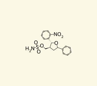 NS(=O)(=O)OC[C@@H]1CC(c2ccccc2)O[C@H]1c1ccccc1[N+](=O)[O-]